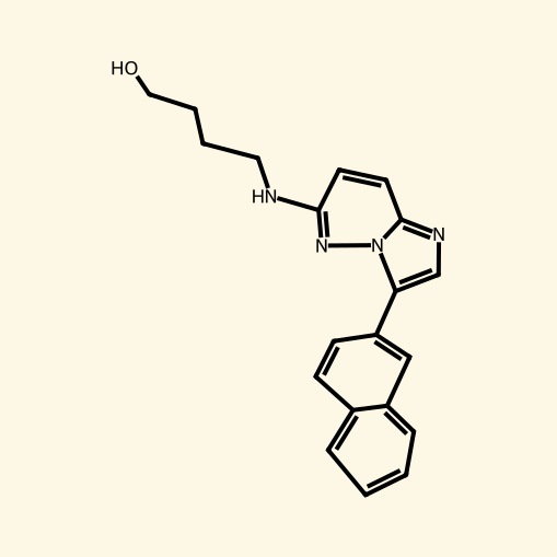 OCCCCNc1ccc2ncc(-c3ccc4ccccc4c3)n2n1